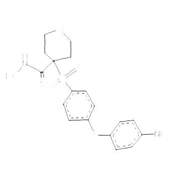 Nc1ccc(Sc2ccc(S(=O)(=O)C3(C(=O)NO)CCOCC3)cc2)cc1